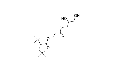 CC(C)(C)CC(C(=O)OCCC(=O)OCC(O)CO)C(C)(C)C